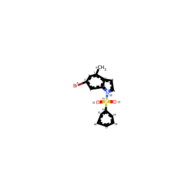 Cc1cc(Br)cc2c1ccn2S(=O)(=O)c1ccccc1